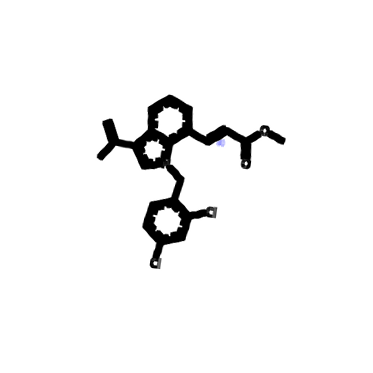 C=C(C)c1cn(Cc2ccc(Cl)cc2Cl)c2c(/C=C/C(=O)OC)cccc12